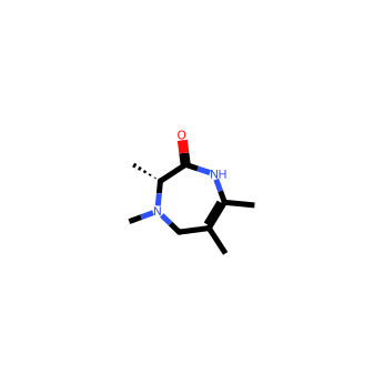 CC1=C(C)NC(=O)[C@@H](C)N(C)C1